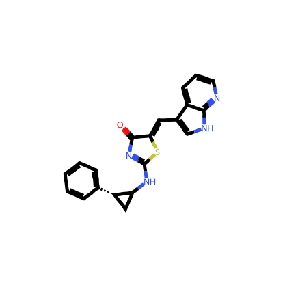 O=C1N=C(NC2C[C@@H]2c2ccccc2)S/C1=C\c1c[nH]c2ncccc12